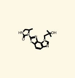 CC1CNC(=O)N1c1nc2c(ccc3ncn(CC(C)(C)O)c32)s1